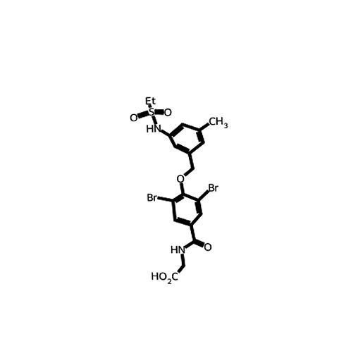 CCS(=O)(=O)Nc1cc(C)cc(COc2c(Br)cc(C(=O)NCC(=O)O)cc2Br)c1